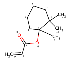 C=CC(=O)OC1(C)CCCCC1(C)C